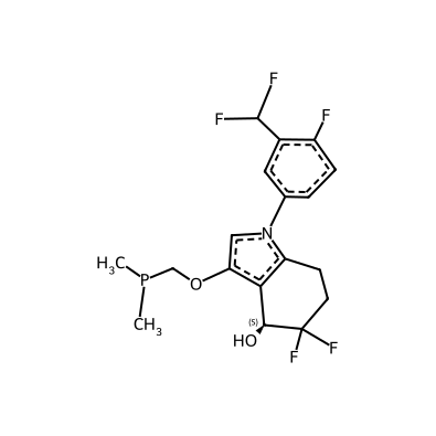 CP(C)COc1cn(-c2ccc(F)c(C(F)F)c2)c2c1[C@H](O)C(F)(F)CC2